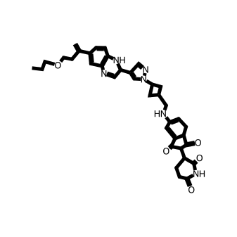 C=C(CCOCCC)c1ccc2c(c1)N=CC(c1cnn(C3CC(CNC4=CCC5C(=O)C(C6CCC(=O)NC6=O)C(=O)C5=C4)C3)c1)N2